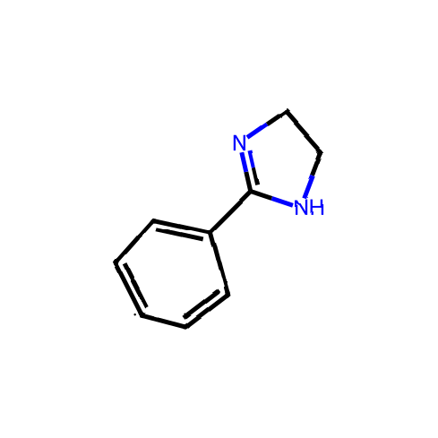 [c]1ccc(C2=NCCN2)cc1